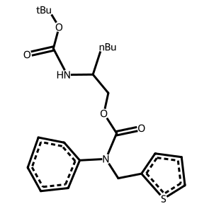 CCCCC(COC(=O)N(Cc1cccs1)c1ccccc1)NC(=O)OC(C)(C)C